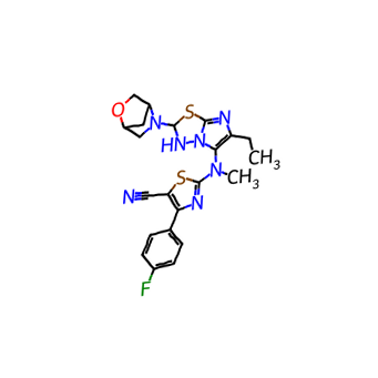 CCc1nc2n(c1N(C)c1nc(-c3ccc(F)cc3)c(C#N)s1)NC(N1CC3CC1CO3)S2